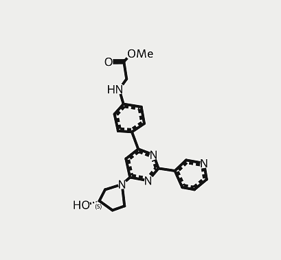 COC(=O)CNc1ccc(-c2cc(N3CC[C@H](O)C3)nc(-c3cccnc3)n2)cc1